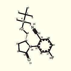 CC(C)(C)[Si](C)(C)OC[C@H]1CCC(=O)N1c1cc(F)ccc1C#N